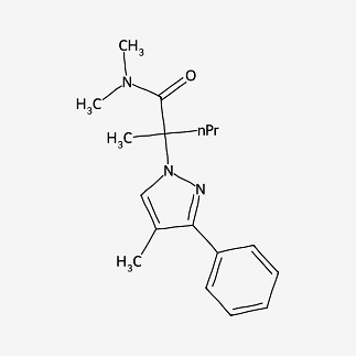 CCCC(C)(C(=O)N(C)C)n1cc(C)c(-c2ccccc2)n1